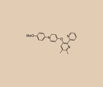 COc1ccc(N2C=CC(Oc3cc(C)c(C)nc3-c3ccccn3)=CC2)cc1